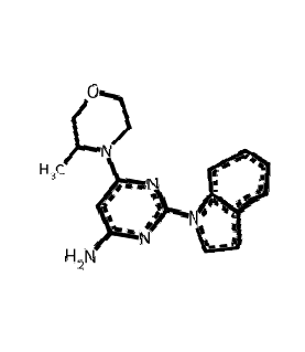 CC1COCCN1c1cc(N)nc(-n2ccc3ccccc32)n1